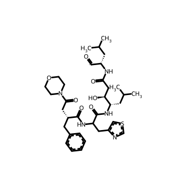 CC(C)C[C@@H]([C]=O)NC(=O)C[C@H](O)[C@H](CC(C)C)NC(=O)C(Cc1cscn1)NC(=O)[C@@H](CC(=O)N1CCOCC1)Cc1ccccc1